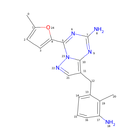 Cc1ccc(-c2nc(N)nc3c(Cc4cccc(N)c4C)cnn23)o1